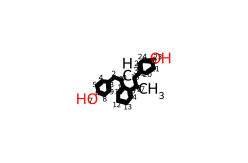 CC(Cc1ccc(O)cc1)c1ccccc1C(C)Cc1ccc(O)cc1